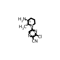 C[C@H]1[C@@H](N)CCCN1c1cnc(C#N)c(Cl)n1